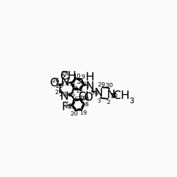 CN1CCN(C(=O)Nc2ccc3c(c2Cl)C(c2ccccc2F)=NCC(=O)N3C)CC1